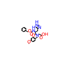 COc1ccc(CN(CC(=O)O)C(=O)C(Cc2c[nH]cn2)NC(=O)OCc2ccccc2)cc1